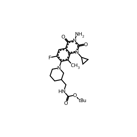 Cc1c(N2CCCC(CNC(=O)OC(C)(C)C)C2)c(F)cc2c(=O)n(N)c(=O)n(C3CC3)c12